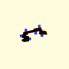 C[C@@H]1CN(CC(=O)N2CC(C)(C)c3[nH]c(=O)c(Cc4ccc(F)cc4)cc32)[C@@H](CN2CCC[C@@H](NC(=O)CCCCCCCCCCCCC(=O)N[C@@H]3CCCN(C[C@H]4CN[C@H](C)CN4CC(=O)N4CC(C)(C)c5[nH]c(=O)c(Cc6ccc(F)cc6)cc54)C3)C2)CN1